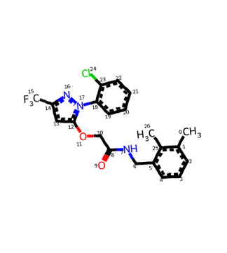 Cc1cccc(CNC(=O)COc2cc(C(F)(F)F)nn2-c2ccccc2Cl)c1C